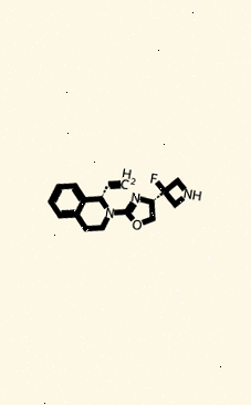 C=C[C@H]1c2ccccc2CCN1C1=N[C@H](C2(F)CNC2)CO1